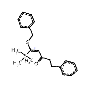 C[Si](C)(C)/C(=C\C(=O)CCc1ccccc1)SCc1ccccc1